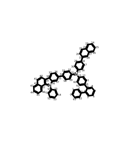 c1ccc(-c2ccccc2-c2ccc(N(c3ccc(-c4ccc5ccccc5c4)cc3)c3ccc(-c4ccc5c6ccc7ccccc7c6n(-c6ccccc6)c5c4)cc3)cc2)cc1